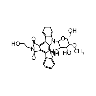 CO[C@H]1[C@H](O)[C@@H](O)[C@H](n2c3ccccc3c3c4c(c5c6ccccc6[nH]c5c32)C(=O)N(CCO)C4=O)O[C@@H]1CO